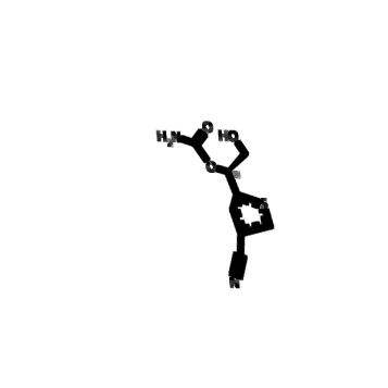 N#Cc1csc([C@H](CO)OC(N)=O)c1